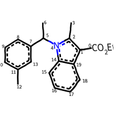 CCOC(=O)c1c(C)n(C(C)c2cccc(C)c2)c2ccccc12